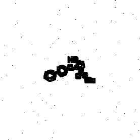 CC(C)(C)OC(=O)N1CC[C@@H](O)[C@H]1CO[C@H]1CC[C@@H](c2ccccc2)CC1